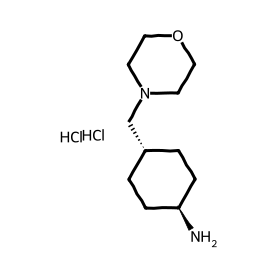 Cl.Cl.N[C@H]1CC[C@H](CN2CCOCC2)CC1